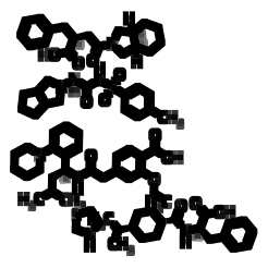 C1CSCN1.CC(C)[C@H]1CC[C@H](C(=O)N[C@H](Cc2ccccc2)C(=O)O)CC1.CCOc1cc(CC(=O)N[C@@H](CC(C)C)c2ccccc2N2CCCCC2)ccc1C(=O)O.Cc1ccc(S(=O)(=O)NC(=O)NN2CC3CCCC3C2)cc1.O=C(O)[C@H](CC(=O)N1C[C@H]2CCCC[C@H]2C1)Cc1ccccc1